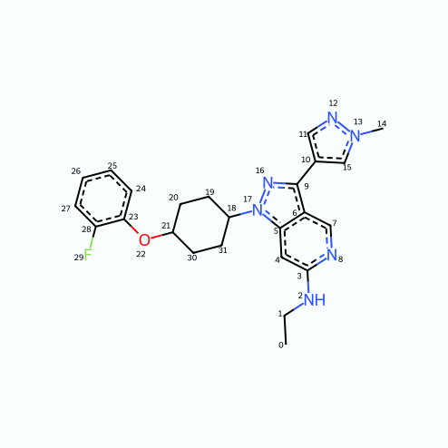 CCNc1cc2c(cn1)c(-c1cnn(C)c1)nn2C1CCC(Oc2ccccc2F)CC1